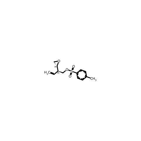 C=C[C@H](COS(=O)(=O)c1ccc(C)cc1)[C@@H]1CO1